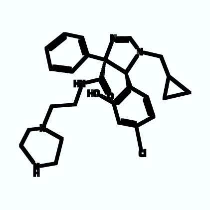 O=C(NCCN1CCNCC1)[C@]1(c2ccccc2)N=CN(CC2CC2)[C@H]1c1ccc(Cl)cc1O